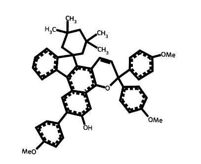 COc1ccc(-c2cc3c4c(c5c(c3cc2O)OC(c2ccc(OC)cc2)(c2ccc(OC)cc2)C=C5)C2(CC(C)(C)CC(C)(C)C2)c2ccccc2-4)cc1